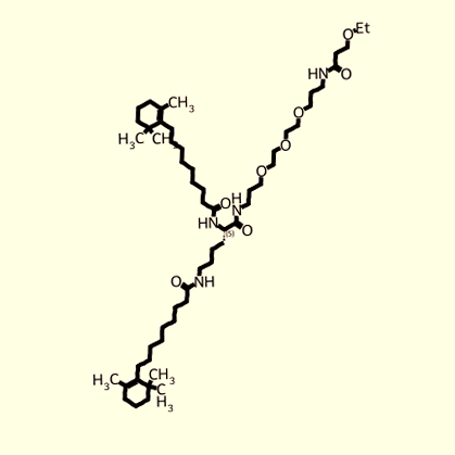 CCOCCC(=O)NCCCOCCOCCOCCCNC(=O)[C@H](CCCCNC(=O)CCCCCCCCC1=C(C)CCCC1(C)C)NC(=O)CCCCCCCCC1=C(C)CCCC1(C)C